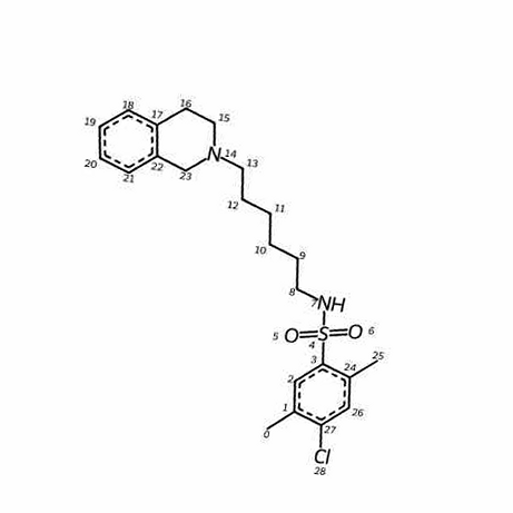 Cc1cc(S(=O)(=O)NCCCCCCN2CCc3ccccc3C2)c(C)cc1Cl